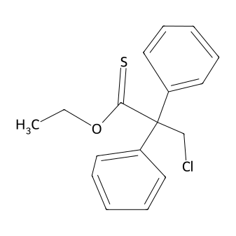 CCOC(=S)C(CCl)(c1ccccc1)c1ccccc1